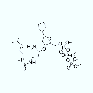 COP(=O)(OC)OP(=O)(OC)OP(=O)(OC)OCC1OC(C2CCCC2)CC1OC(N)CCNC(=O)P(C)CCOC(C)C